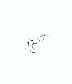 Cc1ncc(CN2CC[N+](C)([O-])CC2)c(-c2ncc[nH]2)c1O